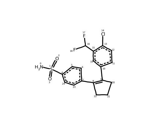 NS(=O)(=O)c1ccc(C2=C(c3ccc(Cl)c(C(F)F)c3)CCC2)cc1